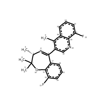 Cc1c(C2=N[C@@H](C)C(C)(C)Oc3c(F)cccc32)cnc2c(F)cccc12